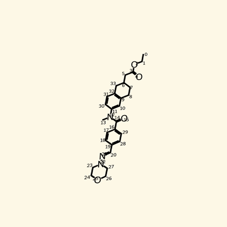 CCOC(=O)CC1CCc2cc(N(C)C(=O)c3ccc(C=NN4CCOCC4)cc3)ccc2C1